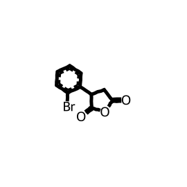 O=C1CC(c2ccccc2Br)C(=O)O1